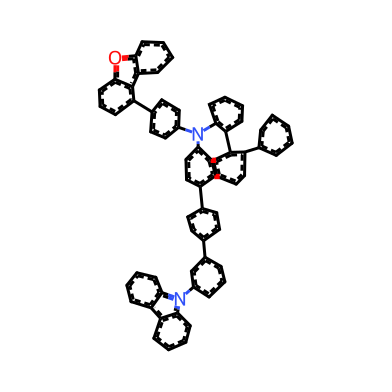 c1ccc(-c2ccccc2-c2ccccc2N(c2ccc(-c3ccc(-c4cccc(-n5c6ccccc6c6ccccc65)c4)cc3)cc2)c2ccc(-c3cccc4oc5ccccc5c34)cc2)cc1